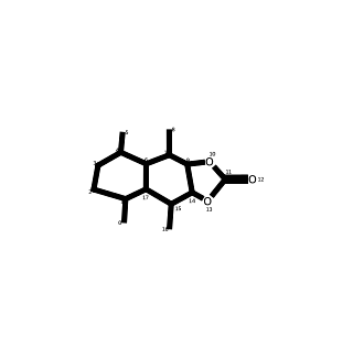 CC1CCC(C)C2C(C)C3OC(=O)OC3C(C)C12